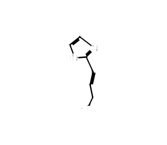 ClCC=Cc1ncc[nH]1